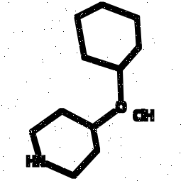 C1CCC(OC2CCNCC2)CC1.Cl